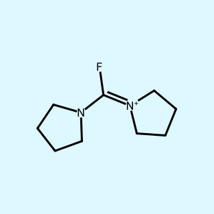 FC(N1CCCC1)=[N+]1CCCC1